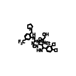 CCN(C(=O)CO)C(CN/C(=N\C#N)Nc1cc(C(F)(F)F)ccc1CN1CCCC1)C(=N)c1ccc(Cl)c(Cl)c1